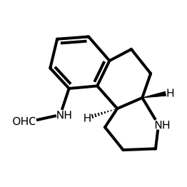 O=CNc1cccc2c1[C@@H]1CCCN[C@H]1CC2